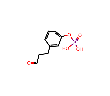 O=CCCc1cccc(OP(=O)(O)O)c1